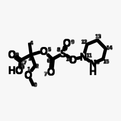 COCC(C)(OC(=O)S(=O)ON1CCCCN1)C(=O)O